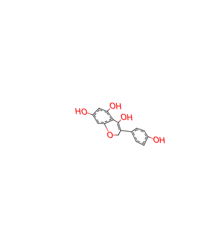 OC1=C(c2ccc(O)cc2)COc2cc(O)cc(O)c21